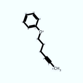 CC#CCCCOc1c[c]ccc1